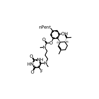 C=C(C)[C@@H]1CCC(C)=C[C@H]1c1c(O)cc(CCCCC)cc1OC(=O)N(C)CCCN(C)c1[nH]c(=O)[nH]c(=O)c1F